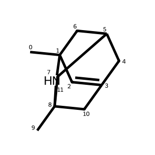 CC12C=C3CC(C1)CC(C)(C3)N2